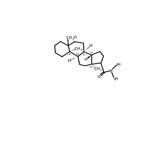 CC(C)N(C(=O)C1CC[C@H]2[C@@H]3CCC4(C(=O)O)CCCC[C@]4(C)[C@@H]3CC[C@]12C)C(C)C